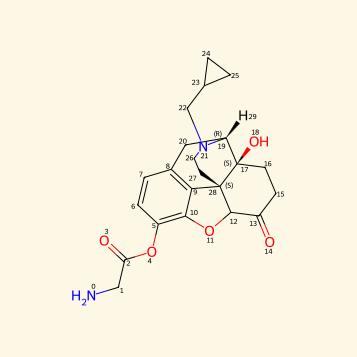 NCC(=O)Oc1ccc2c3c1OC1C(=O)CC[C@@]4(O)[C@@H](C2)N(CC2CC2)CC[C@]314